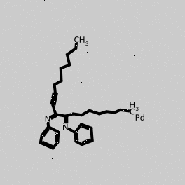 CCCCCCCC#CC(=Nc1ccccc1)C(CCCCCCCC)=Nc1ccccc1.[Pd]